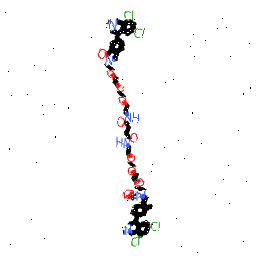 Cc1cc(C2CN(C)Cc3c(Cl)cc(Cl)cc32)ccc1CN(C=O)CCOCCOCCOCCNC(=O)CCC(=O)NCCOCCOCCOCCN1Cc2ccc(C3CN(C)Cc4c(Cl)cc(Cl)cc43)cc2C1=O